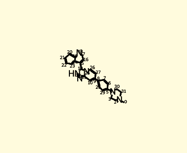 CN1CCN(c2ccc(C3=CC4=NNC(c5ccnc6ccccc56)N4C=C3)cc2)CC1